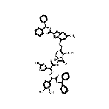 Cc1cc(SCC2=C(C(=O)O)N3C(=O)[C@@H](NC(=O)C(=NOC(C(=O)OC(c4ccccc4)c4ccccc4)c4ccc(O)c(O)c4)c4csc(N)n4)[C@H]3SC2)n2nc(C(=O)OC(c3ccccc3)c3ccccc3)nc2n1